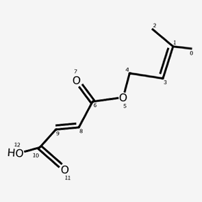 CC(C)=CCOC(=O)C=CC(=O)O